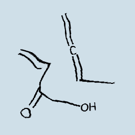 C=CC(=O)O.[CH]=C=CC